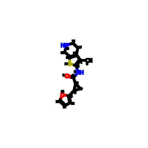 N#Cc1c(NC(=O)C2CC2c2ccco2)sc2c1CCNC2